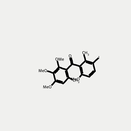 COc1cc(C)c(C(=O)c2c(OC)ccc(I)c2C)c(OC)c1OC